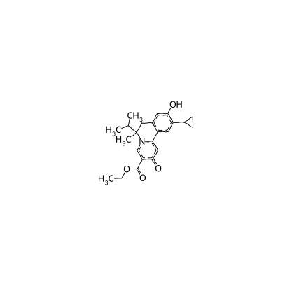 CCOC(=O)c1cn2c(cc1=O)-c1cc(C3CC3)c(O)cc1CC2(C)C(C)C